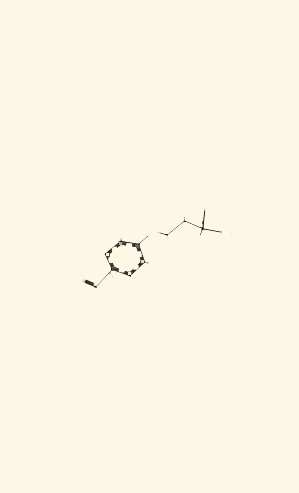 CC(C)(F)CCOc1ccc(C=O)cc1